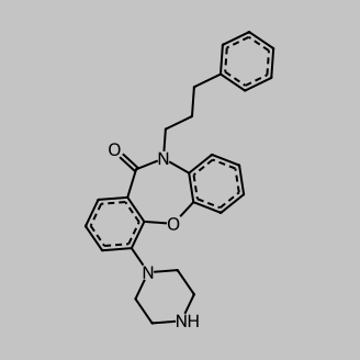 O=C1c2cccc(N3CCNCC3)c2Oc2ccccc2N1CCCc1ccccc1